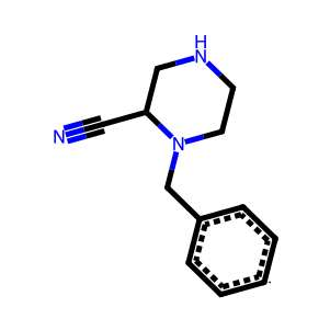 N#CC1CNCCN1Cc1cc[c]cc1